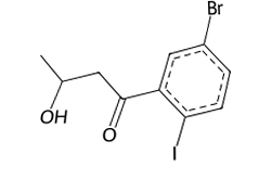 CC(O)CC(=O)c1cc(Br)ccc1I